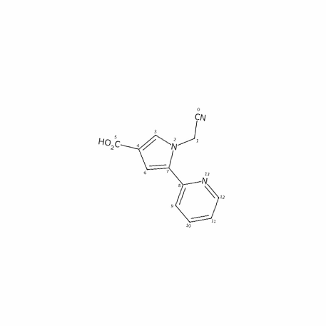 N#CCn1cc(C(=O)O)cc1-c1ccccn1